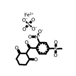 CS(=O)(=O)c1ccc(C(=O)C2C(=O)CCCC2=O)c([N+](=O)[O-])c1.O=S(=O)([O-])[O-].[Fe+2]